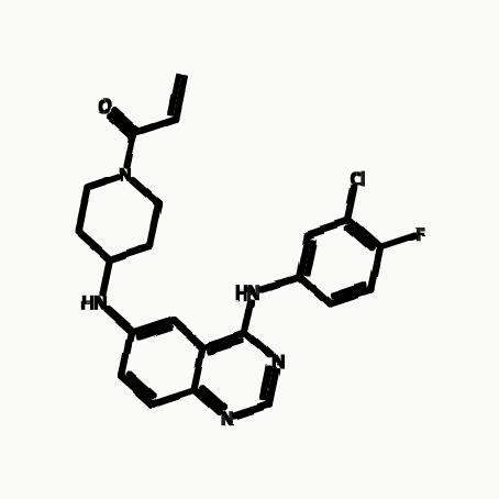 C=CC(=O)N1CCC(Nc2ccc3ncnc(Nc4ccc(F)c(Cl)c4)c3c2)CC1